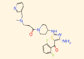 CN(CCC(=O)N1CCC(Nc2nc(N)c(C(=O)c3c(F)cccc3F)s2)CC1)Cc1cccnc1